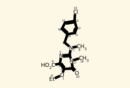 CCOc1c(C(=O)O)nc(N(C)Cc2ccc(Cl)cc2)n(C)c1=O